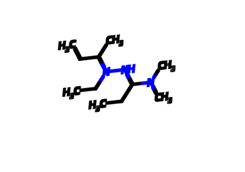 CCC(NN(CC)C(C)CC)N(C)C